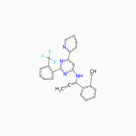 C#Cc1ccccc1C(=C=C)Nc1cc(-c2ccccn2)nc(-c2ccccc2C(F)(F)F)n1